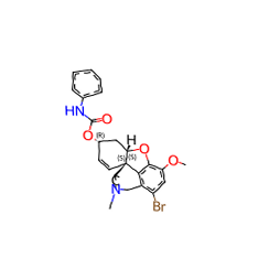 COc1cc(Br)c2c3c1O[C@H]1C[C@@H](OC(=O)Nc4ccccc4)C=C[C@@]31CCN(C)C2